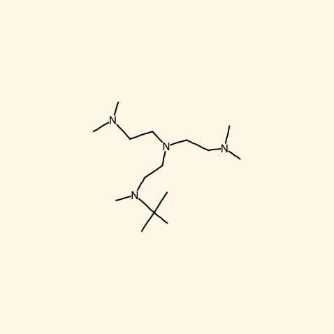 CN(C)CCN(CCN(C)C)CCN(C)C(C)(C)C